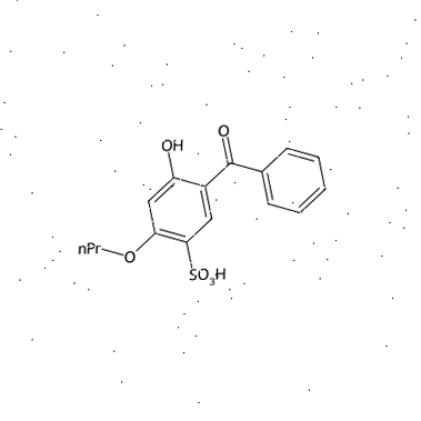 CCCOc1cc(O)c(C(=O)c2ccccc2)cc1S(=O)(=O)O